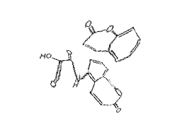 O=C(O)C(=O)Nc1cccc2oc(=O)ccc12.O=c1ccc2ccccc2o1